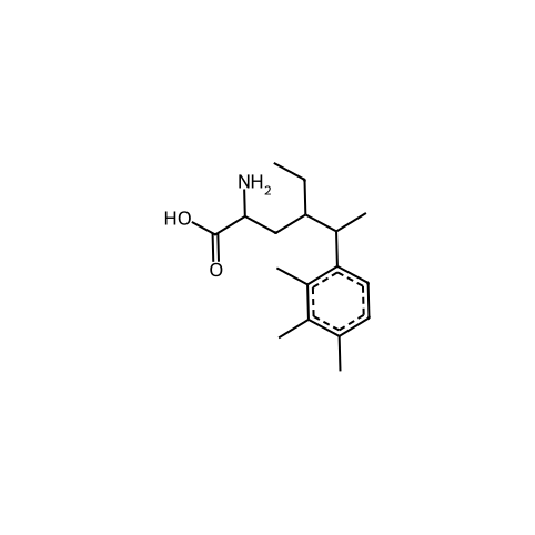 CCC(CC(N)C(=O)O)C(C)c1ccc(C)c(C)c1C